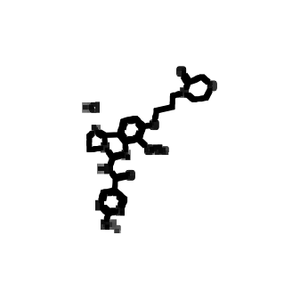 COc1c(OCCCN2CCOCC2=O)ccc2c1N=C(NC(=O)c1cnc(N)nc1)N1CCN=C21.Cl